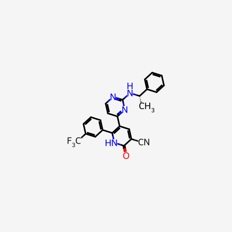 C[C@H](Nc1nccc(-c2cc(C#N)c(=O)[nH]c2-c2cccc(C(F)(F)F)c2)n1)c1ccccc1